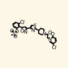 CS(=O)(=O)Oc1cccc(Cl)c1C1CC(c2csc(C3CCN(C(=O)Cn4cc(Cl)ccc4=O)CC3)n2)=NO1